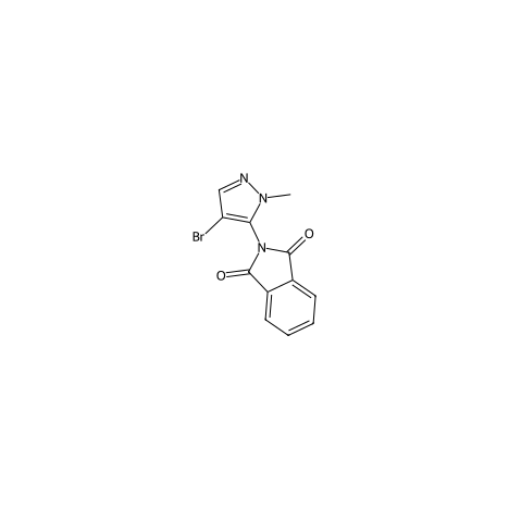 Cn1ncc(Br)c1N1C(=O)c2ccccc2C1=O